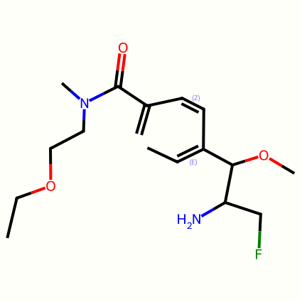 C=C(/C=C\C(=C/C)C(OC)C(N)CF)C(=O)N(C)CCOCC